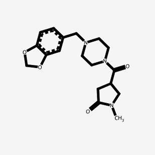 CN1CC(C(=O)N2CCN(Cc3ccc4c(c3)OCO4)CC2)CC1=O